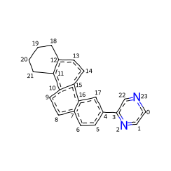 c1cnc(-c2ccc3ccc4c5c(ccc4c3c2)CCCC5)cn1